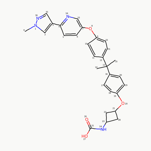 Cn1cc(-c2ccc(Oc3ccc(C(C)(C)c4ccc(OC5CC(NC(=O)O)C5)cc4)cc3)cn2)cn1